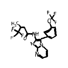 CC(CC(=O)Nc1nc2ncccn2c1-c1cccc(OC(F)(F)F)c1)C(F)(F)F